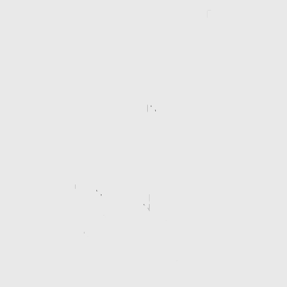 CCN(C(=O)c1cc2cc(F)ccc2[nH]1)[C@@H]1C=C[C@H](NCc2ccc(F)cc2)CCC1